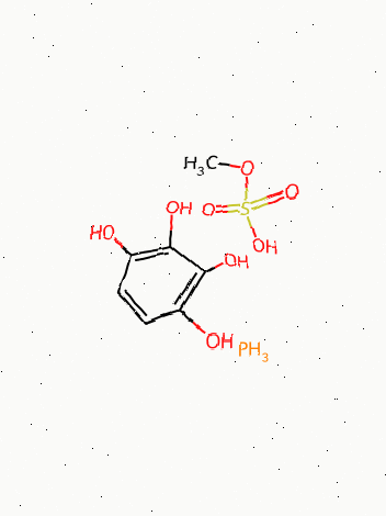 COS(=O)(=O)O.Oc1ccc(O)c(O)c1O.P